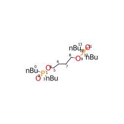 CCCCP(=O)(CCCC)OCCCCOP(=O)(CCCC)CCCC